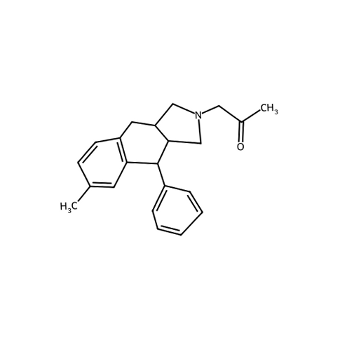 CC(=O)CN1CC2Cc3ccc(C)cc3C(c3ccccc3)C2C1